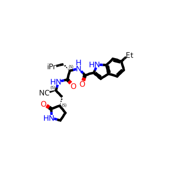 CCc1ccc2cc(C(=O)N[C@@H](CC(C)C)C(=O)N[C@H](C#N)C[C@@H]3CCNC3=O)[nH]c2c1